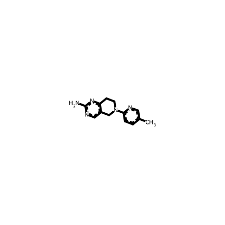 Cc1ccc(N2CCc3nc(N)ncc3C2)nc1